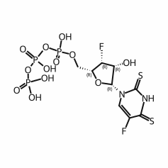 O=P(O)(O)OP(=O)(O)OP(=O)(O)OC[C@H]1O[C@@H](n2cc(F)c(=S)[nH]c2=S)[C@@H](O)[C@H]1F